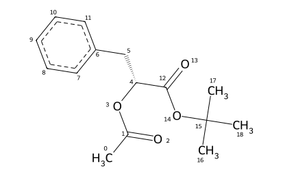 CC(=O)O[C@H](Cc1ccccc1)C(=O)OC(C)(C)C